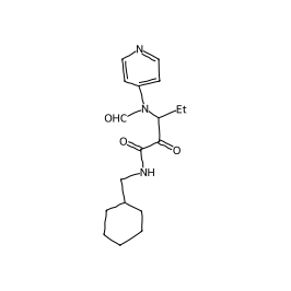 CCC(C(=O)C(=O)NCC1CCCCC1)N(C=O)c1ccncc1